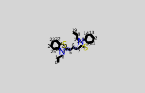 C=CCN1/C(=C/C=C/C2Sc3ccccc3N2CC=C)Sc2ccccc21